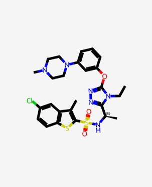 CCn1c(Oc2cccc(N3CCN(C)CC3)c2)nnc1[C@@H](C)NS(=O)(=O)c1sc2ccc(Cl)cc2c1C